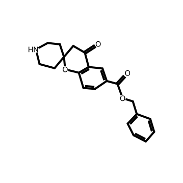 O=C(OCc1ccccc1)c1ccc2c(c1)C(=O)CC1(CCNCC1)O2